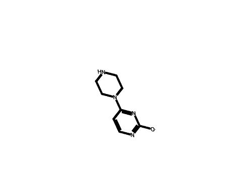 [O]c1nccc(N2CCNCC2)n1